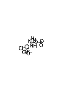 COC(=O)c1cn2ncnc(Nc3ccc(Cl)c([N+](=O)[O-])c3)c2c1C